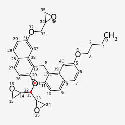 CCCCOc1ccc2ccc(OCC3CO3)c(Cc3c(OCC4CO4)ccc4ccc(OCC5CO5)cc34)c2c1